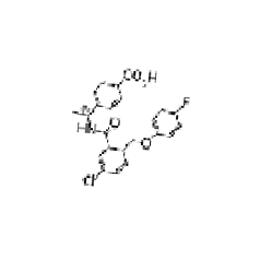 C[C@H](NC(=O)c1cc(Cl)ccc1COc1ccc(F)cc1)c1ccc(C(=O)O)cc1